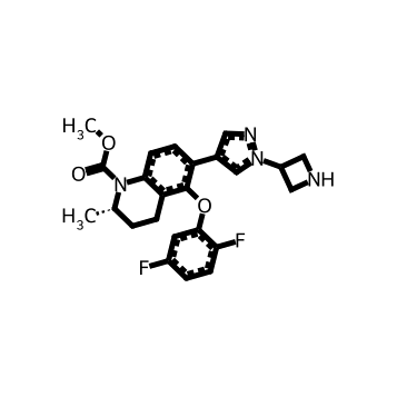 COC(=O)N1c2ccc(-c3cnn(C4CNC4)c3)c(Oc3cc(F)ccc3F)c2CC[C@@H]1C